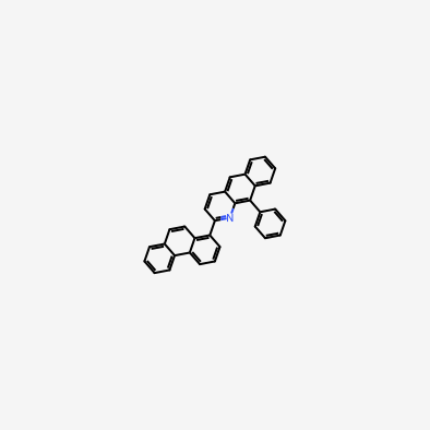 c1ccc(-c2c3ccccc3cc3ccc(-c4cccc5c4ccc4ccccc45)nc23)cc1